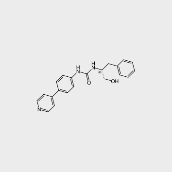 O=C(Nc1ccc(-c2ccncc2)cc1)N[C@@H](CO)Cc1ccccc1